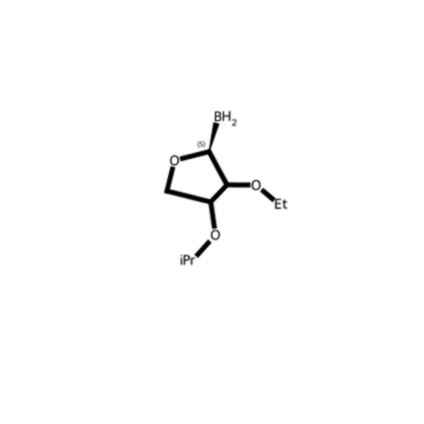 B[C@@H]1OCC(OC(C)C)C1OCC